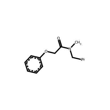 CC(C)CN(C)C(=O)COc1ccccc1